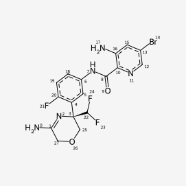 NC1=N[C@@](c2cc(NC(=O)c3ncc(Br)cc3N)ccc2F)(C(F)F)COC1